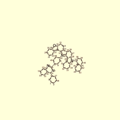 c1ccc(-c2nc(-c3ccc(-n4c5c(ccc6oc7ccccc7c65)c5ccc6c(c7ccccc7n6-c6cccc7ccccc67)c54)cc3)nc3ccccc23)cc1